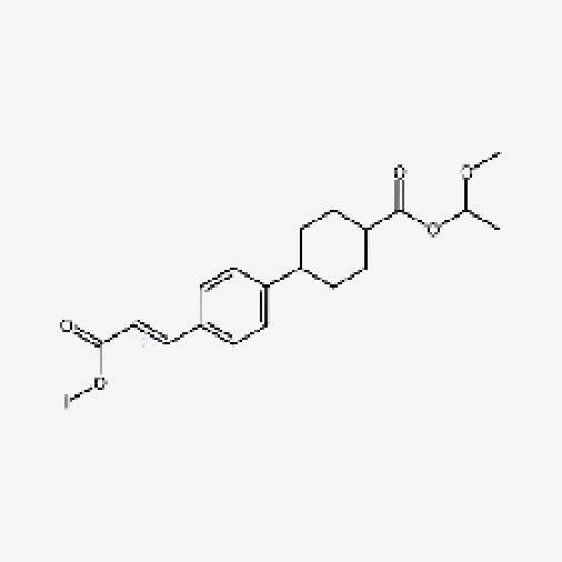 COC(C)OC(=O)C1CCC(c2ccc(/C=C/C(=O)OI)cc2)CC1